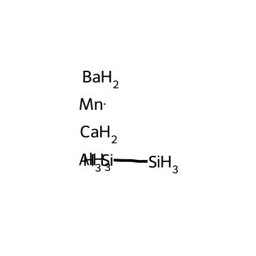 [AlH3].[BaH2].[CaH2].[Mn].[SiH3][SiH3]